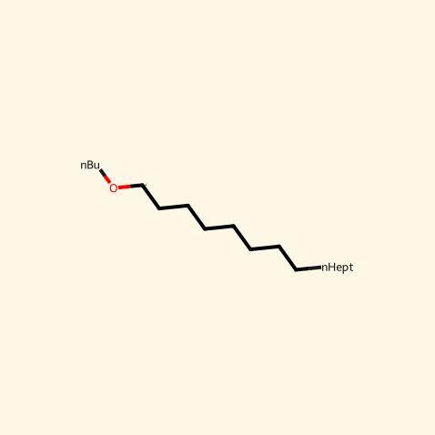 CCCCCCCCCCCCCC[CH]OCCCC